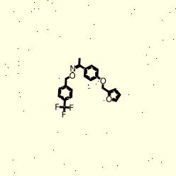 CC(=NOCc1ccc(C(F)(F)F)cc1)c1ccc(OCc2ccco2)cc1